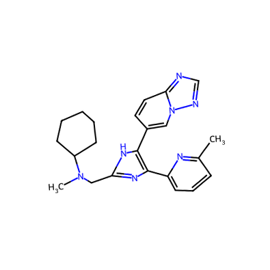 Cc1cccc(-c2nc(CN(C)C3CCCCC3)[nH]c2-c2ccc3ncnn3c2)n1